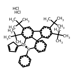 CC(C)(C)c1cc2c(cc1C(C)(C)C)-c1cc(C(C)(C)C)c(C(C)(C)C)[c]([Zr]([C]3=CC=CC3)=[Si](c3ccccc3)c3ccccc3)c1C2.Cl.Cl